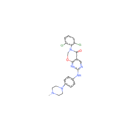 CN1CCN(c2ccc(Nc3ncc4c(n3)OCN(c3c(Cl)cccc3Cl)C4=O)cc2)CC1